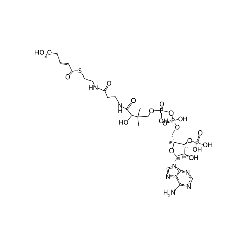 CC(C)(COP(=O)(O)OP(=O)(O)OC[C@H]1O[C@@H](n2cnc3c(N)ncnc32)[C@H](O)[C@@H]1OP(=O)(O)O)C(O)C(=O)NCCC(=O)NCCSC(=O)C=CCC(=O)O